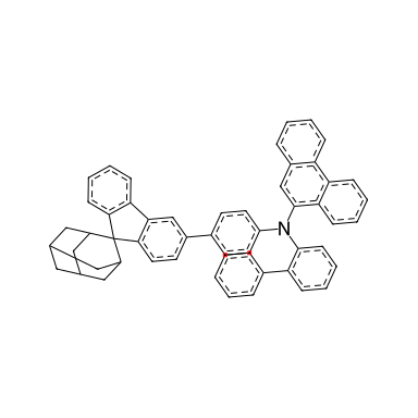 c1ccc(-c2ccccc2N(c2ccc(-c3ccc4c(c3)-c3ccccc3C43C4CC5CC(C4)CC3C5)cc2)c2cc3ccccc3c3ccccc23)cc1